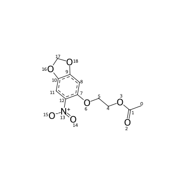 CC(=O)OCCOc1cc2c(cc1[N+](=O)[O-])OCO2